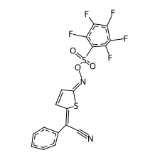 N#CC(=C1C=CC(=NOS(=O)(=O)c2c(F)c(F)c(F)c(F)c2F)S1)c1ccccc1